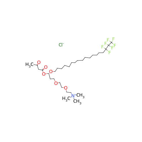 CC(=O)CC(=O)OC(CCOCCOCC[N+](C)(C)C)OCCCCCCCCCCCCCCCC(F)(F)C(F)(F)C(F)(F)F.[Cl-]